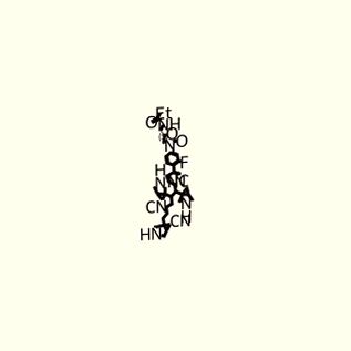 CCC(=O)NC[C@H]1CN(c2ccc(-c3ccc(C(C(CCCCC45CNCC4C5C#N)C45CNCC4C5C#N)C45CNCC4C5C#N)nc3)c(F)c2)C(=O)O1